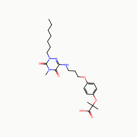 CCCCCCCn1nc(NCCCOc2ccc(OC(C)(C)C(=O)O)cc2)c(=O)n(C)c1=O